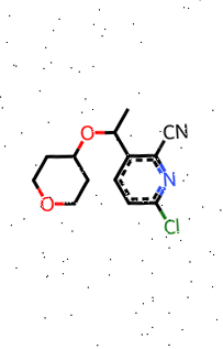 CC(OC1CCOCC1)c1ccc(Cl)nc1C#N